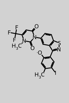 Cc1cc([O])c(-c2nsc3ccc(-n4c(=O)cc(C(F)(F)F)n(C)c4=O)cc23)cc1I